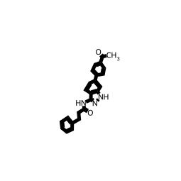 CC(=O)c1ccc(-c2ccc3c(NC(=O)CCc4ccccc4)n[nH]c3c2)cc1